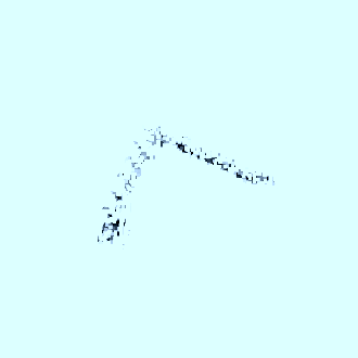 O=C(O)O.O=C(O)O.O=C(O)O.O=C(O)O.O=C(O)O.O=C(O)O.O=C(O)O.O=C(O)O.O=C(O)O.O=C(O)O.O=C(O)O.O=C(O)O.[CaH2].[CaH2].[CaH2].[CaH2].[CaH2].[CaH2].[CaH2].[CaH2]